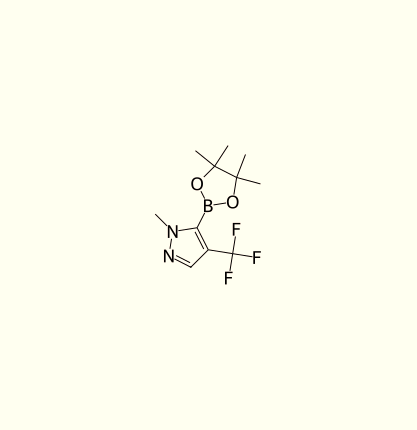 Cn1ncc(C(F)(F)F)c1B1OC(C)(C)C(C)(C)O1